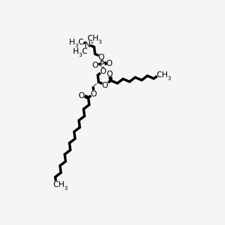 CCCCCCCCCCCCCCCC(=O)OC[C@H](COP(=O)([O-])OCC[N+](C)(C)C)OC(=O)CCCCCCCC